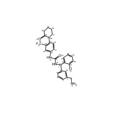 NCc1cccc(N(NC(=O)Nc2ccc(N3CCCCC3=O)c(C(F)(F)F)c2)c2ccccc2Cl)c1